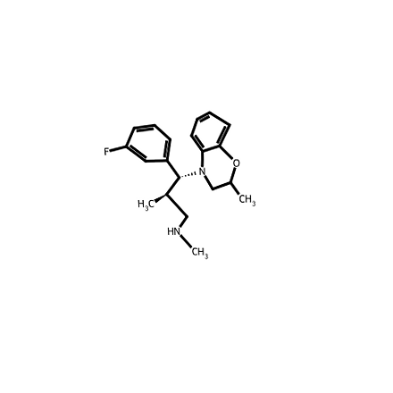 CNC[C@@H](C)[C@H](c1cccc(F)c1)N1CC(C)Oc2ccccc21